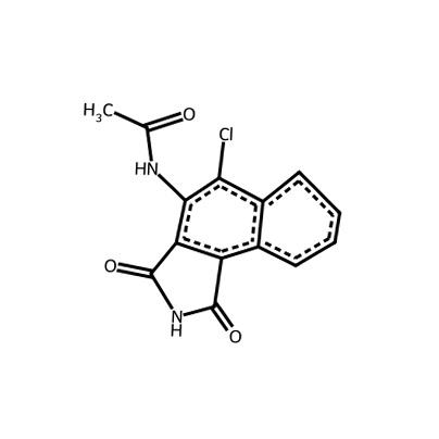 CC(=O)Nc1c2c(c3ccccc3c1Cl)C(=O)NC2=O